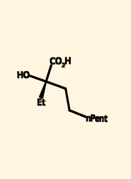 CCCCCCC[C@@](O)(CC)C(=O)O